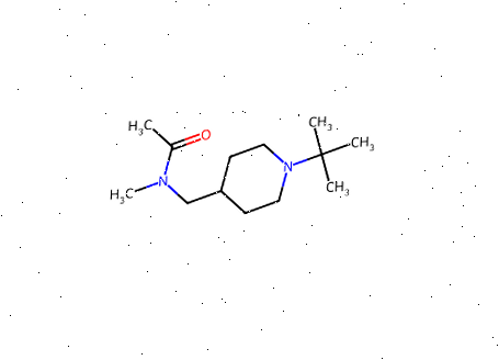 CC(=O)N(C)CC1CCN(C(C)(C)C)CC1